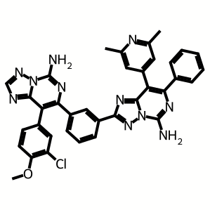 COc1ccc(-c2c(-c3cccc(-c4nc5c(-c6cc(C)nc(C)c6)c(-c6ccccc6)nc(N)n5n4)c3)nc(N)n3ncnc23)cc1Cl